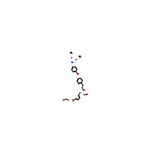 CCCCOC(=O)c1ccc(CN(CC(=O)O)C(=O)CCc2ccc(OC(=O)c3ccc(N/C(=N/C(=O)OC(C)(C)C)NC(=O)OC(C)(C)C)cc3)cc2Cl)s1